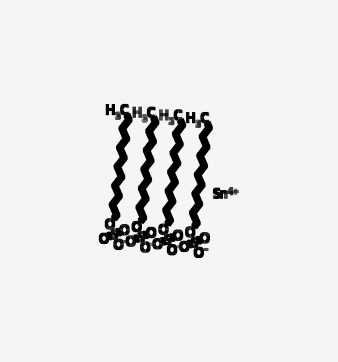 CCCCCCCCCCCCOS(=O)(=O)[O-].CCCCCCCCCCCCOS(=O)(=O)[O-].CCCCCCCCCCCCOS(=O)(=O)[O-].CCCCCCCCCCCCOS(=O)(=O)[O-].[Sn+4]